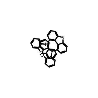 c1ccc2c(c1)Oc1ccccc1B2c1cccc2sc3cccc(N4c5ccccc5Sc5ccccc54)c3c12